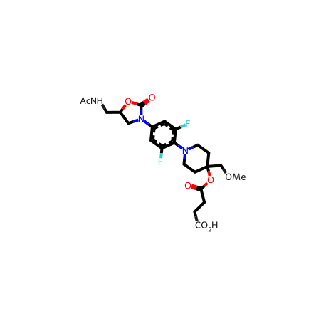 COCC1(OC(=O)CCC(=O)O)CCN(c2c(F)cc(N3CC(CNC(C)=O)OC3=O)cc2F)CC1